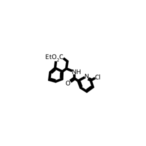 CCOC(=O)CC(NC(=O)c1cccc(Cl)n1)c1ccccc1C